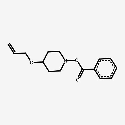 C=CCOC1CCN(OC(=O)c2ccccc2)CC1